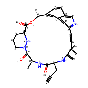 C#CC[C@@H]1NC(=C)C(C)(C)/C=C/c2cc3cc(ccc3cn2)[C@@H](C)OC(=O)[C@@H]2CCCN(N2)C(=O)[C@H](C)NC1=O